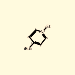 CCC(C)c1cc[n+](CC)cc1